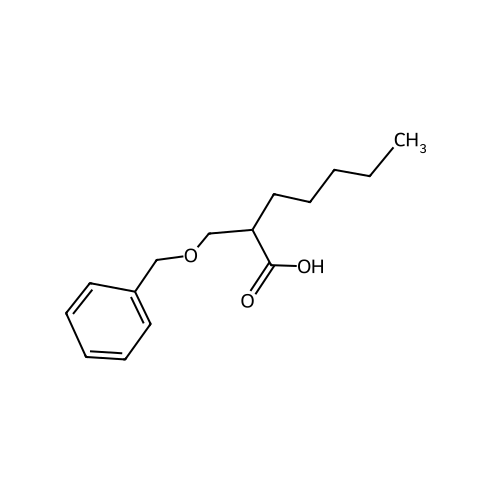 CCCCCC(COCc1ccccc1)C(=O)O